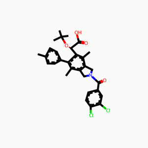 Cc1ccc(-c2c(C)c3c(c(C)c2[C@H](OC(C)(C)C)C(=O)O)CN(C(=O)c2ccc(Cl)c(Cl)c2)C3)cc1